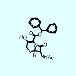 CC(=O)NC1C(=O)N2C(C(=O)OC(c3ccccc3)c3ccccc3)=C(O)CS[C@H]12